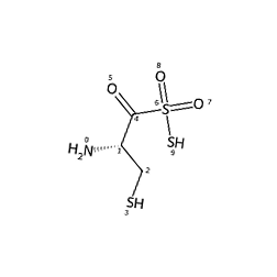 N[C@@H](CS)C(=O)S(=O)(=O)S